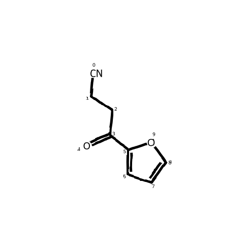 N#CCCC(=O)c1ccco1